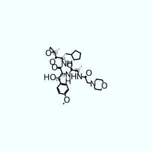 COc1ccc([C@H](O)[C@H](NC(=O)[C@H](C)NC(=O)CN2CCOCC2)C(=O)N[C@@H](CC2CCCC2)C(=O)[C@]2(C)CO2)cc1